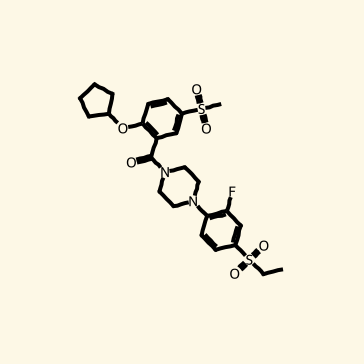 CCS(=O)(=O)c1ccc(N2CCN(C(=O)c3cc(S(C)(=O)=O)ccc3OC3CCCC3)CC2)c(F)c1